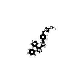 CC1CN(Cc2ccc(-c3noc(-c4nnn(-c5ccccc5F)c4-c4ccncc4)n3)cc2)C1